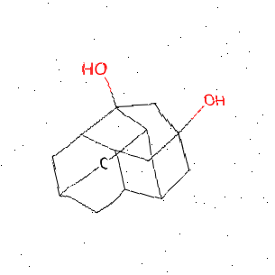 OC12CC3C4CC5CC3C(O)(C1)C(C5)C4C2